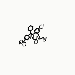 COC(=O)c1ccc2c(C3CCCCC3)c3n(c2c1)CC(=O)N(CCN(C)C)Cc1cc(Cl)ccc1-3